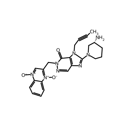 CC#CCn1c(N2CCC[C@@H](N)C2)nc2cnn(Cc3c[n+]([O-])c4ccccc4[n+]3[O-])c(=O)c21